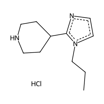 CCCn1ccnc1C1CCNCC1.Cl